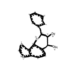 OC1c2ccc3[nH]cnc3c2OC(c2ccccc2)C1O